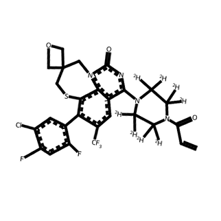 [2H]C1([2H])N(C(=O)C=C)C([2H])([2H])C([2H])([2H])N(c2nc(=O)n3c4c(c(-c5cc(Cl)c(F)cc5F)c(C(F)(F)F)cc24)SCC2(COC2)C3)C1([2H])[2H]